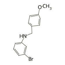 COc1ccc(CNc2cccc(Br)c2)cc1